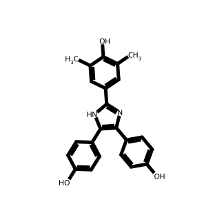 Cc1cc(-c2nc(-c3ccc(O)cc3)c(-c3ccc(O)cc3)[nH]2)cc(C)c1O